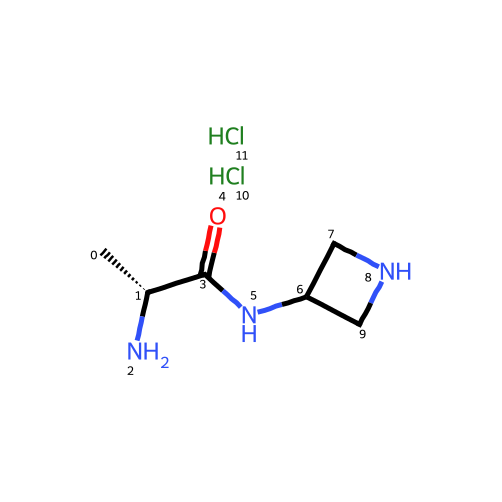 C[C@@H](N)C(=O)NC1CNC1.Cl.Cl